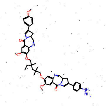 CCC(C)(COc1cc2c(cc1OC)C(=O)N1C=C(c3ccc(OC)cc3)CC1C=N2)CC(C)(C)COc1cc2c(cc1OC)C(=O)N1C=C(c3ccc(NN)cc3)CC1C=N2